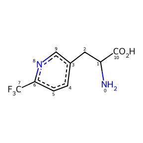 NC(Cc1ccc(C(F)(F)F)nc1)C(=O)O